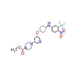 COC(=O)N1CCN(c2cncc(O[C@H]3CC[C@H](Nc4ccc([N+](=O)[O-])c(C(F)(F)F)c4)CC3)c2)CC1